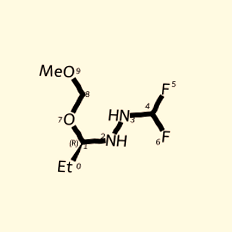 CC[C@H](NNC(F)F)OCOC